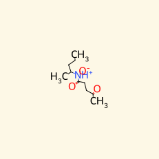 CCCC(C)[NH+]([O-])C(=O)CCC(C)=O